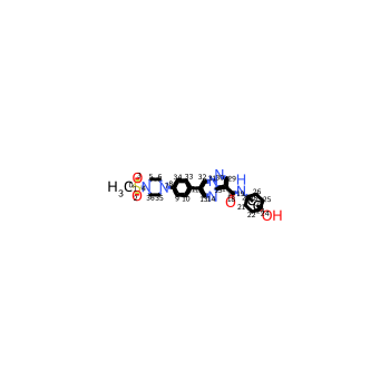 CS(=O)(=O)N1CCN(c2ccc(-c3cnc4c(C(=O)NC56CCC(O)(CC5)CC6)cnn4c3)cc2)CC1